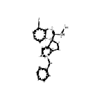 Cc1c(F)cccc1[C@]1(C(=O)NO)CCc2c1cnn2Cc1ccccc1